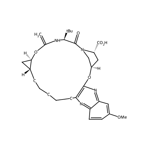 C=C1N[C@@H](C(C)(C)C)C(=O)N2C[C@@H](C[C@H]2C(=O)O)Oc2nc3cc(OC)ccc3nc2CCCCC[C@@H]2C[C@H]2O1